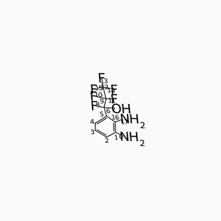 Nc1cccc(C(O)(F)C(F)(F)C(F)(F)F)c1N